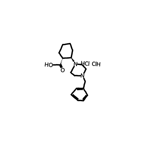 Cl.Cl.O=C(O)[C@@H]1CCCC[C@H]1N1CCN(Cc2ccccc2)CC1